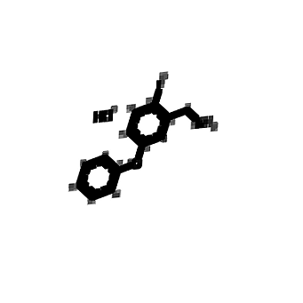 Cl.NCc1cc(Oc2ccccc2)ccc1F